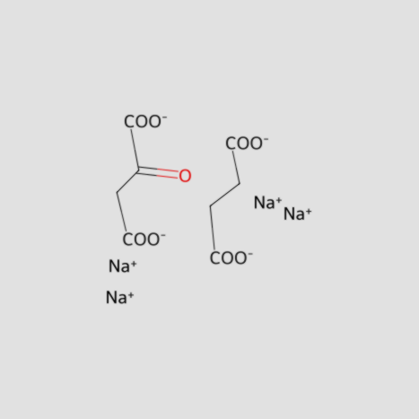 O=C([O-])CC(=O)C(=O)[O-].O=C([O-])CCC(=O)[O-].[Na+].[Na+].[Na+].[Na+]